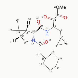 COC(=O)C(=O)C(CC1CC1)NC(=O)[C@@H]1[C@@H]2[C@H](CN1C(=O)CC1CCCCC1)C2(C)C